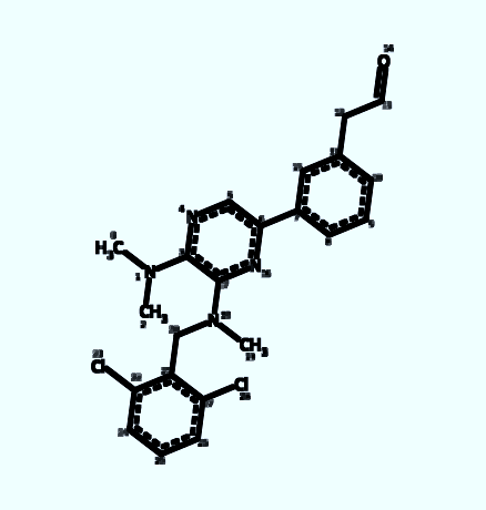 CN(C)c1ncc(-c2cccc(CC=O)c2)nc1N(C)Cc1c(Cl)cccc1Cl